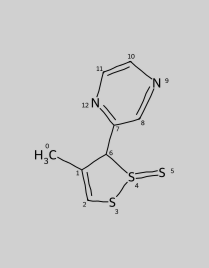 CC1=CSS(=S)C1c1cnccn1